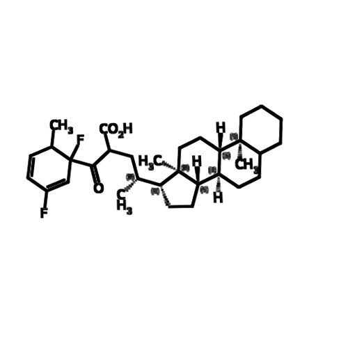 CC1C=CC(F)=CC1(F)C(=O)C(C[C@@H](C)[C@H]1CC[C@H]2[C@@H]3CCC4CCCC[C@]4(C)[C@H]3CC[C@]12C)C(=O)O